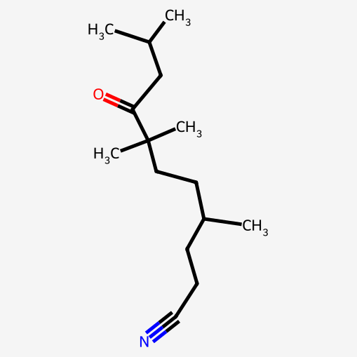 CC(C)CC(=O)C(C)(C)CCC(C)CCC#N